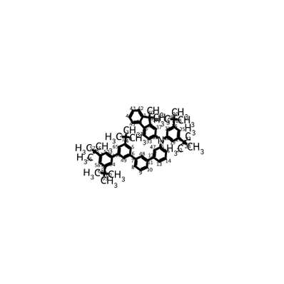 CC(C)(C)c1cc(-c2cccc(-c3cccc(N(c4cc(C(C)(C)C)cc(C(C)(C)C)c4)c4ccc5c(c4)C(C)(C)c4ccccc4-5)c3)c2)cc(-c2cc(C(C)(C)C)cc(C(C)(C)C)c2)c1